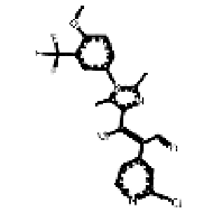 COc1ccc(-n2c(C)nc(/C(Cl)=C(\C=O)c3ccnc(Cl)c3)c2C)cc1C(F)(F)F